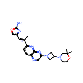 C/C(=C\c1coc(N)n1)c1ccc2ncc(N3CC(N4CCOC(C)(C)C4)C3)nc2n1